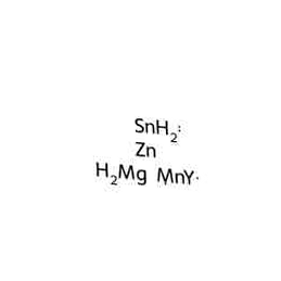 [MgH2].[Mn].[SnH2].[Y].[Zn]